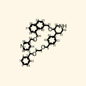 c1ccc(COCCOCc2ccc(C3CCNCC3OCc3ccc4cccc(COCc5cccnc5)c4c3)cc2)cc1